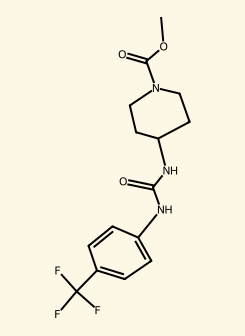 COC(=O)N1CCC(NC(=O)Nc2ccc(C(F)(F)F)cc2)CC1